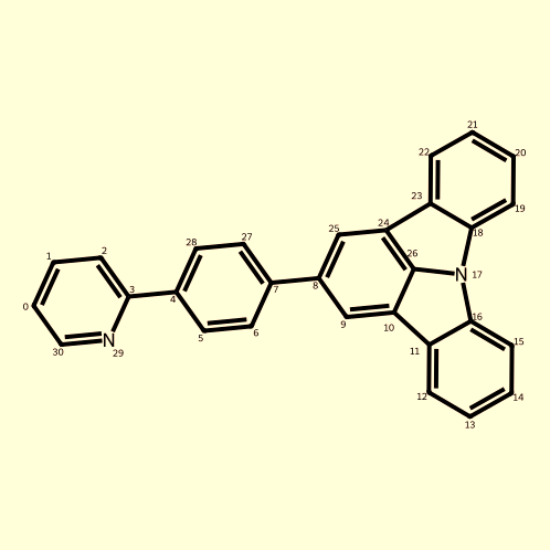 c1ccc(-c2ccc(-c3cc4c5ccccc5n5c6ccccc6c(c3)c45)cc2)nc1